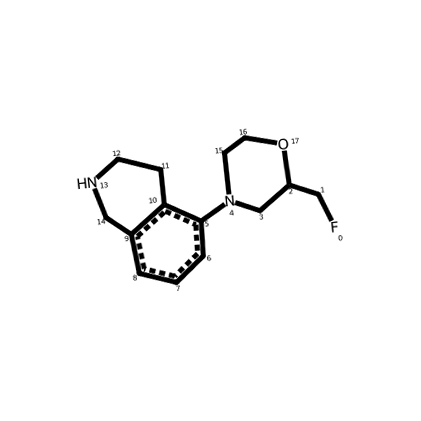 FCC1CN(c2cccc3c2CCNC3)CCO1